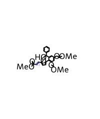 COCOc1cc(OCOC)c(-c2ccc(/C=C/C(=O)OC)o2)c(C(O)c2ccccc2)c1